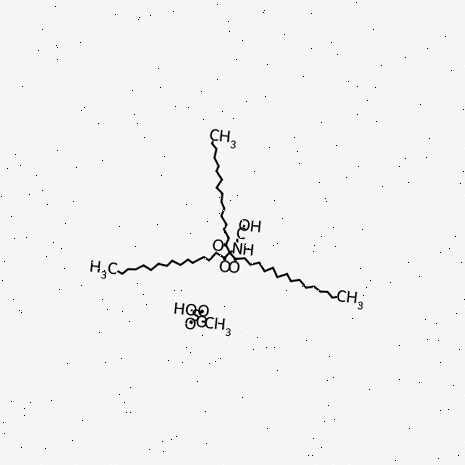 CCCCCCCCCCCCCCCC(=O)C(NCCO)(C(=O)CCCCCCCCCCCCCCC)C(=O)CCCCCCCCCCCCCCC.COS(=O)(=O)O